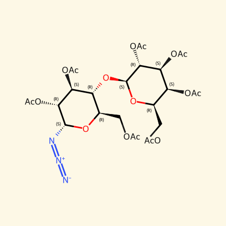 CC(=O)OC[C@H]1O[C@@H](O[C@H]2[C@H](OC(C)=O)[C@@H](OC(C)=O)[C@@H](N=[N+]=[N-])O[C@@H]2COC(C)=O)[C@H](OC(C)=O)[C@@H](OC(C)=O)[C@H]1OC(C)=O